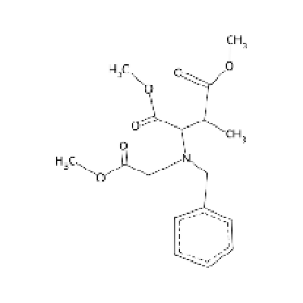 COC(=O)CN(Cc1ccccc1)C(C(=O)OC)C(C)C(=O)OC